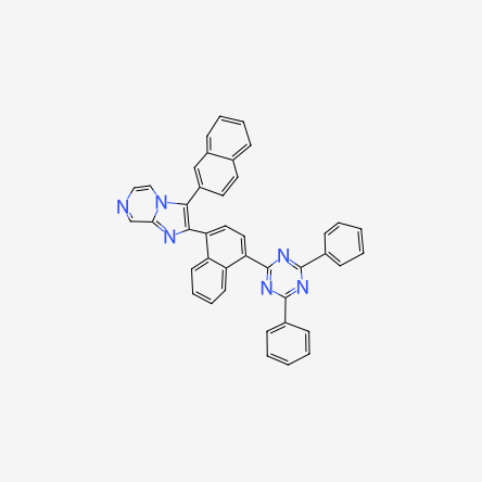 c1ccc(-c2nc(-c3ccccc3)nc(-c3ccc(-c4nc5cnccn5c4-c4ccc5ccccc5c4)c4ccccc34)n2)cc1